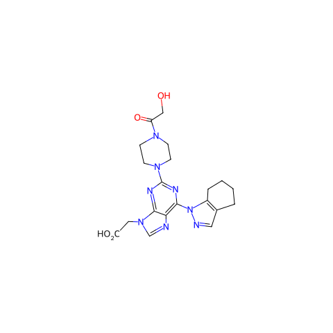 O=C(O)Cn1cnc2c(-n3ncc4c3CCCC4)nc(N3CCN(C(=O)CO)CC3)nc21